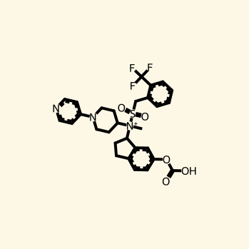 C[N+](C1CCN(c2ccncc2)CC1)(C1CCc2ccc(OC(=O)O)cc21)S(=O)(=O)Cc1ccccc1C(F)(F)F